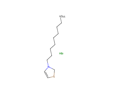 Br.CCCCCCCCCCCCCCCCN1C=CSC1